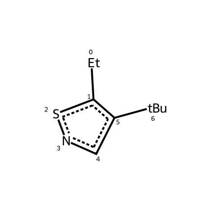 CCc1sncc1C(C)(C)C